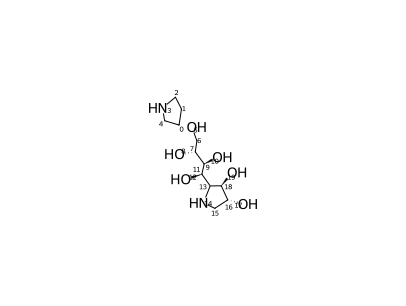 C1CCNC1.OC[C@@H](O)[C@@H](O)[C@H](O)C1NC[C@@H](O)[C@@H]1O